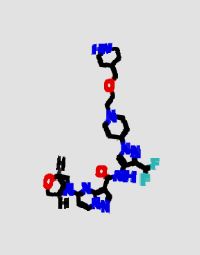 O=C(Nc1cn(C2CCN(CCOCC3CCNCC3)CC2)nc1C(F)F)c1cnn2ccc(N3C[C@H]4C[C@@H]3CO4)nc12